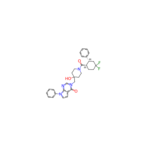 O=C([C@@H]1CCC(F)(F)C[C@H]1c1ccccc1)N1CCC(O)(Cn2cnc3c(ccn3-c3ccccc3)c2=O)CC1